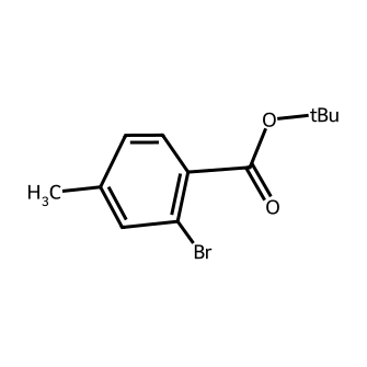 Cc1ccc(C(=O)OC(C)(C)C)c(Br)c1